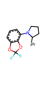 CC(C)C1CCCN1c1cccc2c1OC(F)(F)O2